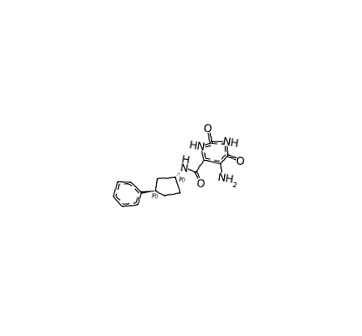 Nc1c(C(=O)N[C@@H]2CC[C@@H](c3ccccc3)C2)[nH]c(=O)[nH]c1=O